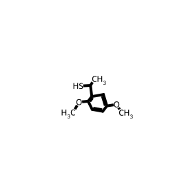 COc1ccc(OC)c(C(C)S)c1